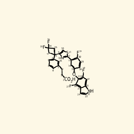 O=C(O)CCc1cccc(C2(c3csc(-c4cc(Oc5c(F)cc6[nH]ccc6c5F)ccc4F)n3)CC(F)(F)C2)c1